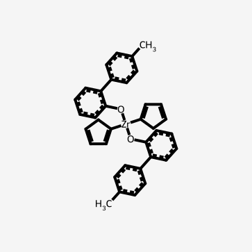 Cc1ccc(-c2ccccc2[O][Zr]([O]c2ccccc2-c2ccc(C)cc2)([C]2=CC=CC2)[C]2=CC=CC2)cc1